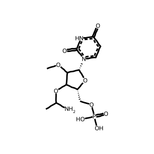 COC1C(OC(C)N)[C@@H](COP(=O)(O)O)O[C@H]1n1ccc(=O)[nH]c1=O